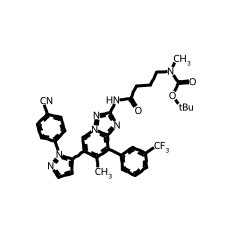 Cc1c(-c2ccnn2-c2ccc(C#N)cc2)cn2nc(NC(=O)CCCN(C)C(=O)OC(C)(C)C)nc2c1-c1cccc(C(F)(F)F)c1